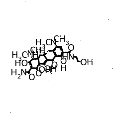 CN(C)c1cc(C(=O)NCCO)c(O)c2c1C[C@H]1C[C@H]3[C@H](N(C)C)C(O)=C(C(N)=O)C(=O)[C@@]3(O)C(O)=C1C2=O